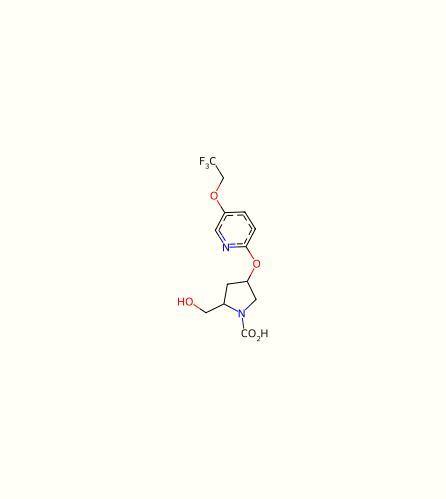 O=C(O)N1CC(Oc2ccc(OCC(F)(F)F)cn2)CC1CO